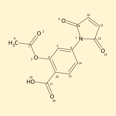 CC(=O)Oc1cc(N2C(=O)C=CC2=O)ccc1C(=O)O